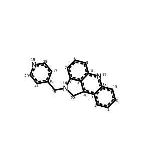 c1ccc2c3c4c(cccc4nc2c1)N(Cc1ccncc1)C3